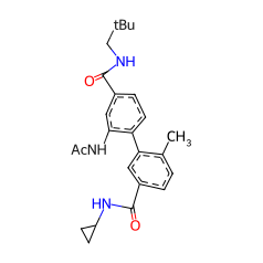 CC(=O)Nc1cc(C(=O)NCC(C)(C)C)ccc1-c1cc(C(=O)NC2CC2)ccc1C